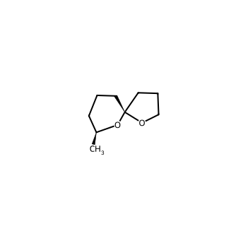 C[C@H]1CCC[C@]2(CCCO2)O1